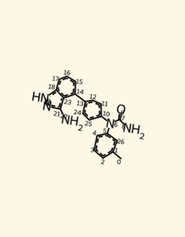 Cc1cccc(N(C(N)=O)c2ccc(-c3cccc4[nH]nc(N)c34)cc2)c1